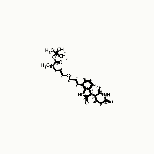 CN(CCCOCCCc1cccc2c1[nH]c(=O)n2C1CCC(=O)NC1=O)C(=O)OC(C)(C)C